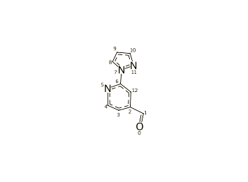 O=Cc1ccnc(-n2cccn2)c1